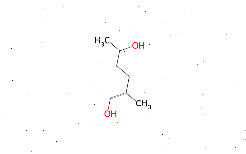 CC(O)CCC(C)CO